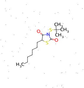 CCCCCCCC1SC(=O)N(SC(C)(C)C)C1=O